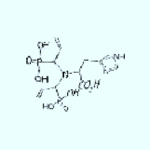 C=CC(N(C(Cc1c[nH]cn1)C(=O)O)C(C=C)P(=O)(O)O)P(=O)(O)O